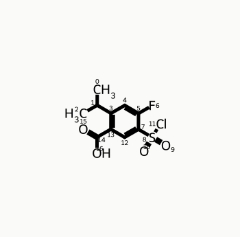 CC(C)c1cc(F)c(S(=O)(=O)Cl)cc1C(=O)O